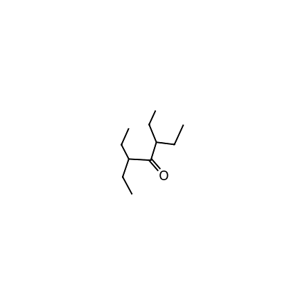 CCC(CC)C(=O)C(CC)CC